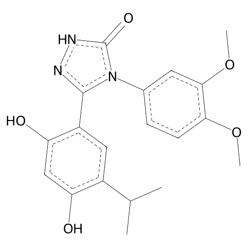 COc1ccc(-n2c(-c3cc(C(C)C)c(O)cc3O)n[nH]c2=O)cc1OC